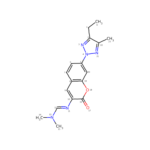 CCc1nn(-c2ccc3cc(N=CN(C)C)c(=O)oc3c2)nc1C